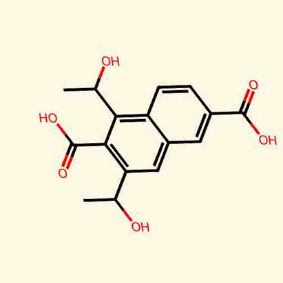 CC(O)c1cc2cc(C(=O)O)ccc2c(C(C)O)c1C(=O)O